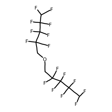 FC(F)C(F)(F)C(F)(F)C(F)(F)COCC(F)(F)C(F)(F)C(F)(F)C(F)F